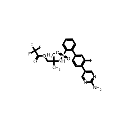 CC(C)(COC(=O)C(F)(F)F)NS(=O)(=O)c1ccccc1-c1ccc(-c2cnc(N)nc2)c(F)c1